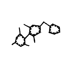 Cc1cc(C)c(-c2c(C)[c]c(Cc3ccccc3)cc2C)c(C)c1